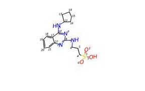 O=S(=O)(O)CCCNc1nc(NC2CCCC2)c2ccccc2n1